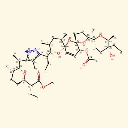 CC[C@@H](C(=O)OC)[C@H]1CC[C@H](C)[C@H]([C@@H](C)c2[nH]nc([C@H](CC)[C@H]3O[C@]4(C=C[C@@H](OC(C)=O)[C@]5(CC[C@@](C)([C@H]6CC[C@](O)(CC)[C@H](C)O6)O5)O4)[C@H](C)C[C@@H]3C)c2C)O1